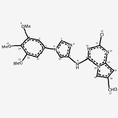 COc1cc(-n2cnc(Nc3nc(Cl)nc4cc(C=O)cn34)c2)cc(OC)c1OC